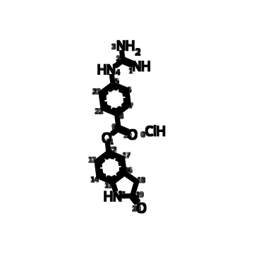 Cl.N=C(N)Nc1ccc(C(=O)Oc2ccc3c(c2)CC(=O)N3)cc1